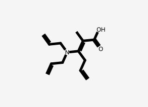 C=CCC(=C(C)C(=O)O)N(CC=C)CC=C